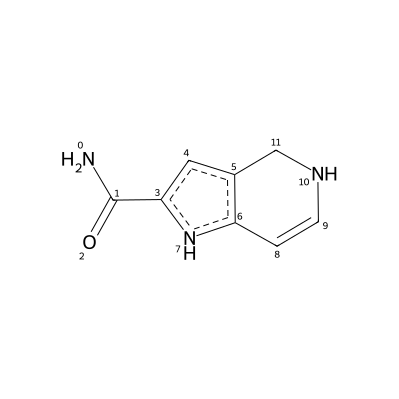 NC(=O)c1cc2c([nH]1)C=CNC2